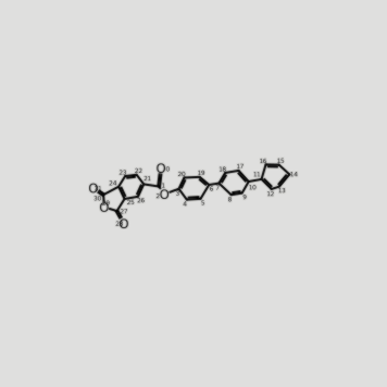 O=C(Oc1ccc(-c2ccc(-c3ccccc3)cc2)cc1)c1ccc2c(c1)C(=O)OC2=O